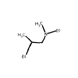 C[CH]N(C)CC(C)CC